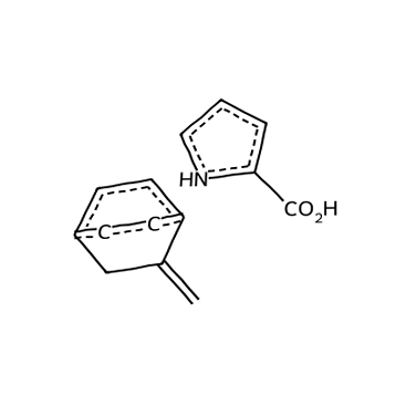 C=C1Cc2ccc1cc2.O=C(O)c1ccc[nH]1